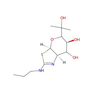 CCCNC1=N[C@@H]2C(O)[C@H](O)C(C(C)(C)O)O[C@@H]2S1